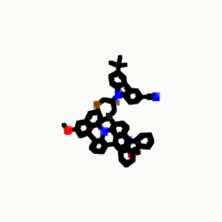 COc1cccc(-c2cccc(-c3cccc(OC)c3)c2N2c3cc(-n4c5ccccc5c5ccccc54)ccc3B3c4c(cccc42)SC2CC3[C@@H]2n2c3ccc(C#N)cc3c3cc(C(C)(C)C)ccc32)c1